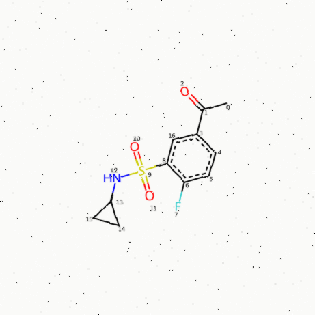 CC(=O)c1ccc(F)c(S(=O)(=O)NC2CC2)c1